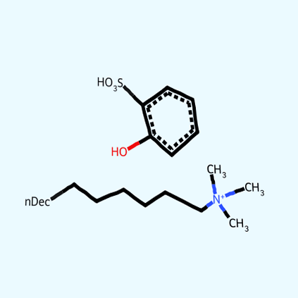 CCCCCCCCCCCCCCCC[N+](C)(C)C.O=S(=O)(O)c1ccccc1O